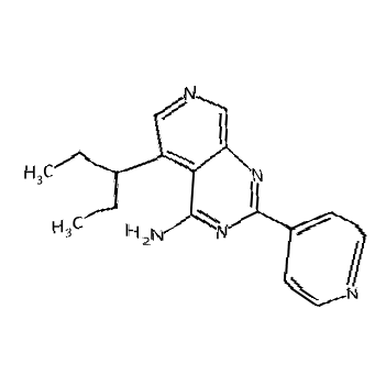 CCC(CC)c1cncc2nc(-c3ccncc3)nc(N)c12